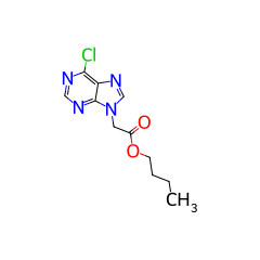 CCCCOC(=O)Cn1cnc2c(Cl)ncnc21